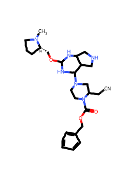 CN1CCC[C@H]1COC1NC2CNCC2C(N2CCN(C(=O)OCc3ccccc3)C(CC#N)C2)N1